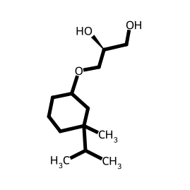 CC(C)C1(C)CCCC(OC[C@@H](O)CO)C1